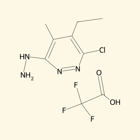 CCc1c(Cl)nnc(NN)c1C.O=C(O)C(F)(F)F